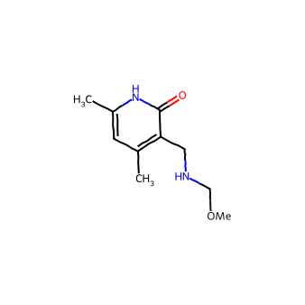 COCNCc1c(C)cc(C)[nH]c1=O